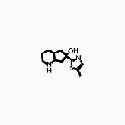 Cc1cnc(C2(O)CC3CCCNC3C2)s1